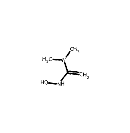 C=C(NO)N(C)C